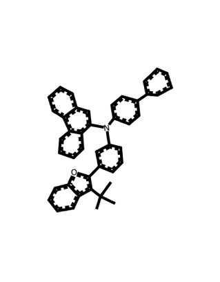 CC(C)(C)c1c(-c2cccc(N(c3ccc(-c4ccccc4)cc3)c3cc4ccccc4c4ccccc34)c2)oc2ccccc12